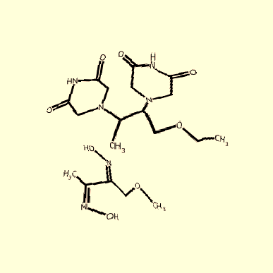 CCOCC(C(C)N1CC(=O)NC(=O)C1)N1CC(=O)NC(=O)C1.COCC(=N/O)/C(C)=N\O